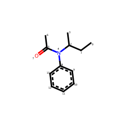 CCC(C)N(C(C)=O)c1ccccc1